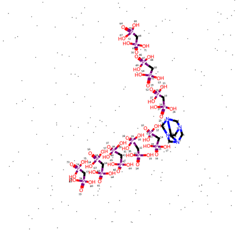 C1N2CN3CN1CN(C2)C3.O=P(O)(O)CP(=O)(O)O.O=P(O)(O)CP(=O)(O)O.O=P(O)(O)CP(=O)(O)O.O=P(O)(O)CP(=O)(O)O.O=P(O)(O)CP(=O)(O)O.O=P(O)(O)CP(=O)(O)O.O=P(O)(O)CP(=O)(O)O.O=P(O)(O)CP(=O)(O)O